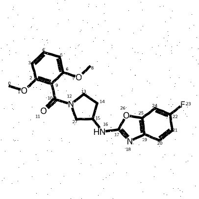 COc1cccc(OC)c1C(=O)N1CCC(Nc2nc3ccc(F)cc3o2)C1